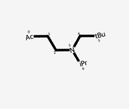 CC(=O)CCN(CC(C)(C)C)C(C)C